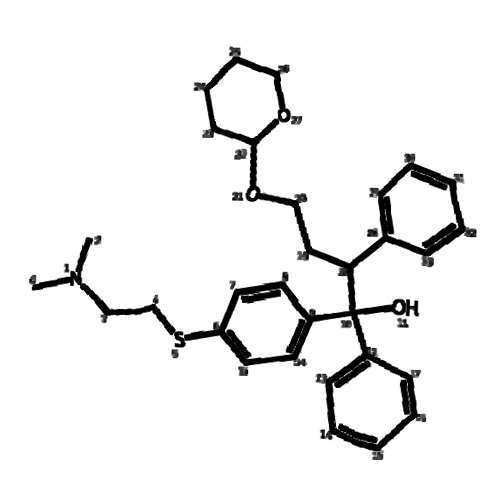 CN(C)CCSc1ccc(C(O)(c2ccccc2)C(CCOC2CCCCO2)c2ccccc2)cc1